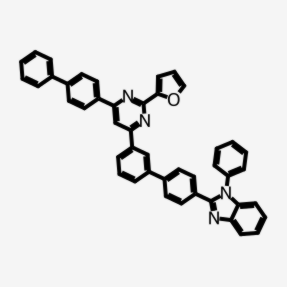 c1ccc(-c2ccc(-c3cc(-c4cccc(-c5ccc(-c6nc7ccccc7n6-c6ccccc6)cc5)c4)nc(-c4ccco4)n3)cc2)cc1